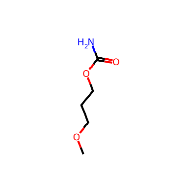 COCCCOC(N)=O